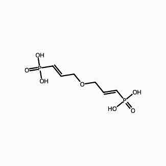 O=P(O)(O)C=CCOCC=CP(=O)(O)O